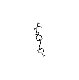 CC(C)C(=O)NC1CC2(CCN(CCN3CCN(C(C)C)CC3)CC2)C1